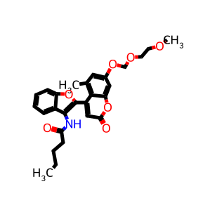 CCCCC(=O)Nc1c(-c2cc(=O)oc3cc(OCOCCOC)cc(C)c23)oc2ccccc12